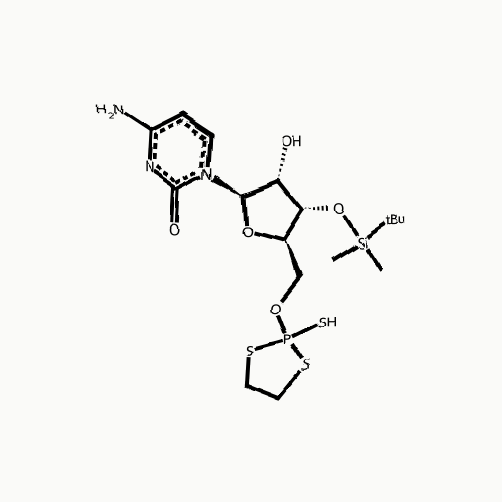 CC(C)(C)[Si](C)(C)O[C@H]1[C@@H](O)[C@H](n2ccc(N)nc2=O)O[C@@H]1CO[P]1(S)SCCS1